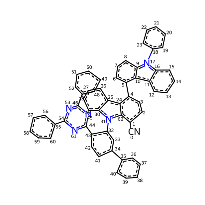 N#Cc1ccc(-c2cccc3c2c2ccccc2n3-c2ccccc2)c2c3ccccc3n(-c3cc(-c4ccccc4)ccc3-c3nc(-c4ccccc4)nc(-c4ccccc4)n3)c12